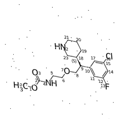 COC(=O)NCCOCC(c1cc(F)cc(Cl)c1)[C@@H]1CCCNC1